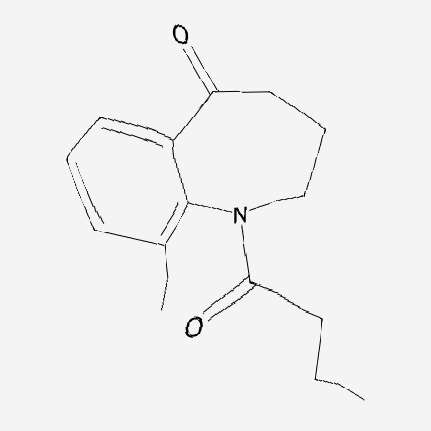 CCCC(=O)N1CCCC(=O)c2cccc(C)c21